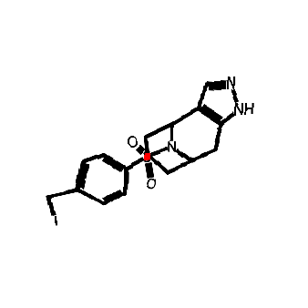 O=S(=O)(c1ccc(CI)cc1)N1C2CCCC1c1cn[nH]c1C2